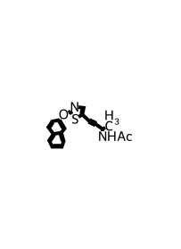 CC(=O)NC(C)C#Cc1cnc(Oc2ccc3ccccc3c2)s1